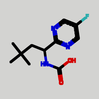 CC(C)(C)CC(NC(=O)O)c1ncc(F)cn1